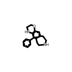 c1ccc(-c2c3c(cc4c2NCCO4)CCNCC3)cc1